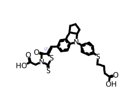 O=C(O)CCCSc1ccc(N2c3ccc(/C=C4\SC(=S)N(CC(=O)O)C4=O)cc3C3CCCC32)cc1